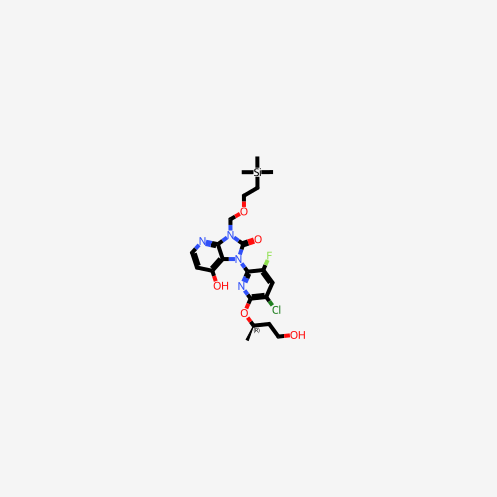 C[C@H](CCO)Oc1nc(-n2c(=O)n(COCC[Si](C)(C)C)c3nccc(O)c32)c(F)cc1Cl